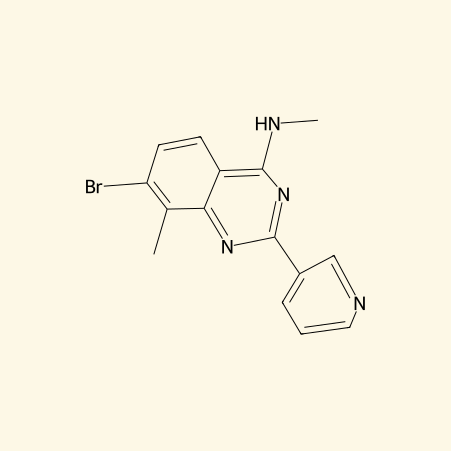 CNc1nc(-c2cccnc2)nc2c(C)c(Br)ccc12